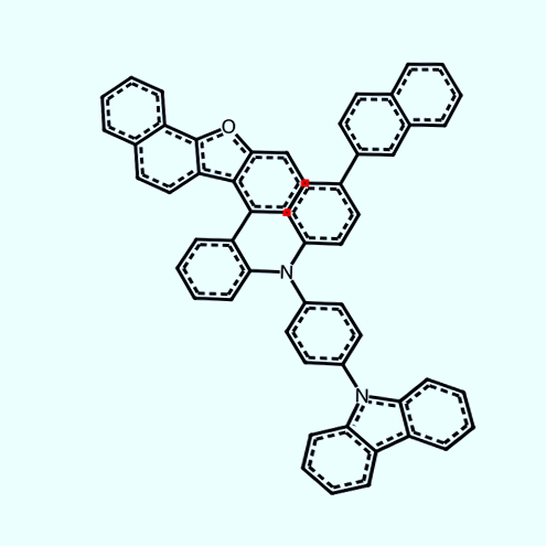 c1ccc(N(c2ccc(-c3ccc4ccccc4c3)cc2)c2ccc(-n3c4ccccc4c4ccccc43)cc2)c(-c2cccc3oc4c5ccccc5ccc4c23)c1